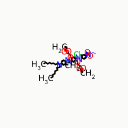 C=CC(=O)OCCOc1cc(/N=N/c2ccc([N+](=O)[O-])cc2Cl)c(OCCOC(=O)C=C)cc1/N=N/c1ccc(N(CCCCCCCC)CCCCCCCC)cc1C